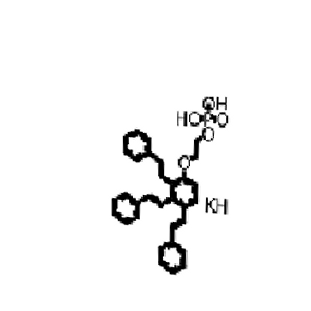 O=P(O)(O)OCCOc1ccc(C=Cc2ccccc2)c(C=Cc2ccccc2)c1C=Cc1ccccc1.[KH]